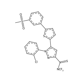 CS(=O)(=O)c1cccc(-c2ccc(-c3cc(C(=S)NC(F)(F)F)nn3-c3ccccc3Cl)s2)c1